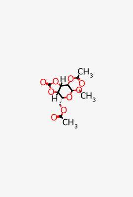 CO[C@H]1O[C@H](COC(C)=O)[C@@H]2OC(=O)O[C@@H]2[C@H]1OC(C)=O